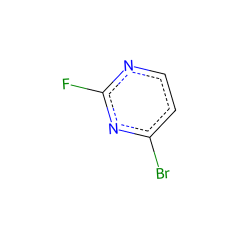 Fc1nccc(Br)n1